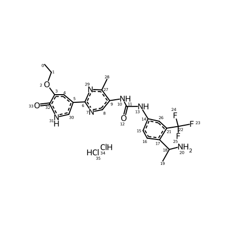 CCOc1cc(-c2ncc(NC(=O)Nc3ccc(C(C)N)c(C(F)(F)F)c3)c(C)n2)c[nH]c1=O.Cl.Cl